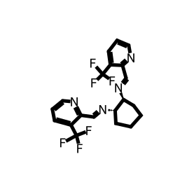 FC(F)(F)c1cccnc1C=N[C@H]1CCCC[C@@H]1N=Cc1ncccc1C(F)(F)F